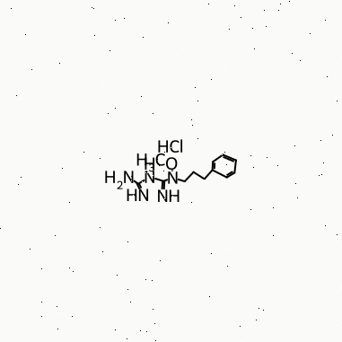 CON(CCCc1ccccc1)C(=N)NC(=N)N.Cl